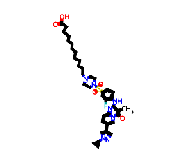 Cc1c(Nc2ccc(S(=O)(=O)N3CCN(CCCCCCCCCCCCC(=O)O)CC3)cc2F)nc2ccc(-c3cnn(C4CC4)c3)cn2c1=O